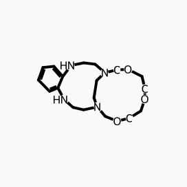 c1ccc2c(c1)NCCN1CCN(CCN2)COCCOCCOC1